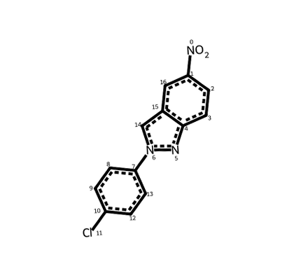 O=[N+]([O-])c1ccc2nn(-c3ccc(Cl)cc3)cc2c1